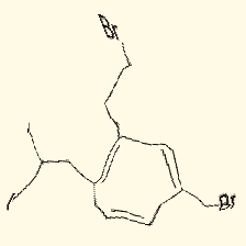 BrCCc1cc(Br)ccc1C(I)I